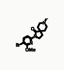 [CH2]N1CCC2(CC1)CCN(c1ccc(Br)c(OC)n1)C2=O